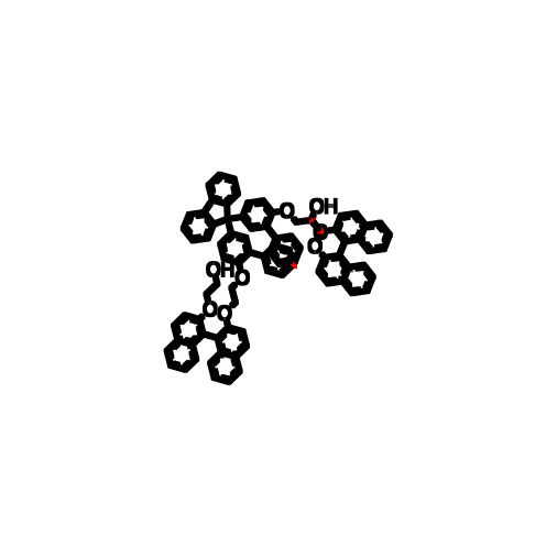 OCCOc1ccc2ccccc2c1-c1c(OCCOc2ccc(C3(c4ccc(OCCOc5ccc6ccccc6c5-c5c(OCCO)ccc6ccccc56)c(-c5ccccc5)c4)c4ccccc4-c4ccccc43)cc2-c2ccccc2)ccc2ccccc12